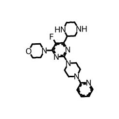 Fc1c(C2CNCCN2)nc(N2CCN(c3ccccn3)CC2)nc1N1CCOCC1